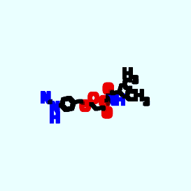 CCC(CC)C(=O)NOC(=O)CC(=O)OCc1ccc(NC#N)cc1